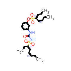 C=C/C=C\C=C(/C=C)S(=O)(=O)NC(=O)Nc1cccc(OS(=O)(=O)C(/C=C\C=C)=C/C=C)c1